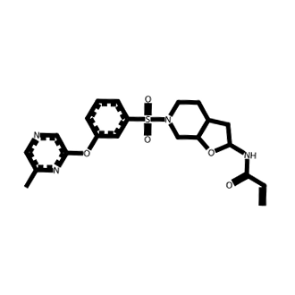 C=CC(=O)NC1CC2CCN(S(=O)(=O)c3cccc(Oc4cncc(C)n4)c3)CC2O1